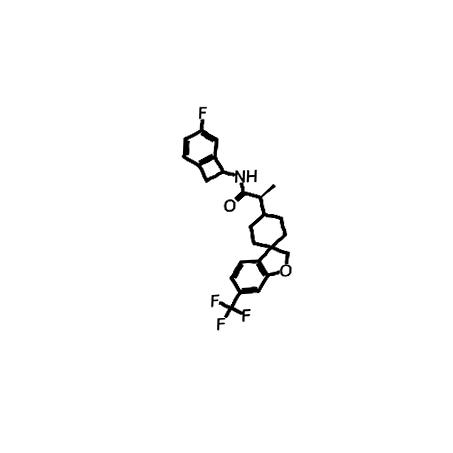 C[C@H](C(=O)NC1Cc2ccc(F)cc21)C1CCC2(CC1)COc1cc(C(F)(F)F)ccc12